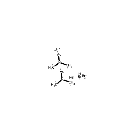 Br.Br.CC(=O)N(C)C.CC(=O)N(C)C.[Br-].[H+]